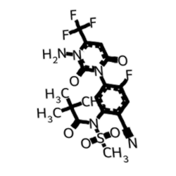 CC(C)(C)C(=O)N(c1cc(-n2c(=O)cc(C(F)(F)F)n(N)c2=O)c(F)cc1C#N)S(C)(=O)=O